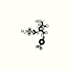 C[C@@H](O)[C@H]1C(=O)N2C(C(=O)OCc3ccc([N+](=O)[O-])cc3)=C(SC3CN(S(N)(=O)=O)C3)[C@H](C)[C@H]12